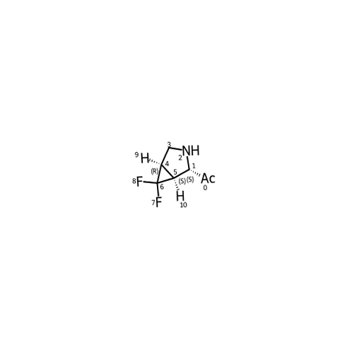 CC(=O)[C@H]1NC[C@H]2[C@@H]1C2(F)F